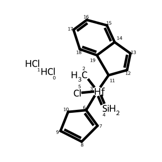 Cl.Cl.[CH3][Hf](=[SiH2])([Cl])([C]1=CC=CC1)[CH]1C=Cc2ccccc21